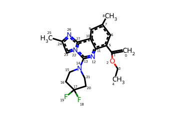 C=C(OCC)c1cc(C)cc2c1nc(N1CCC(F)(F)CC1)n1cc(C)nc21